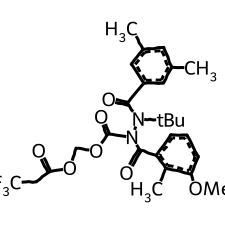 COc1cccc(C(=O)N(C(=O)OCOC(=O)CC(F)(F)F)N(C(=O)c2cc(C)cc(C)c2)C(C)(C)C)c1C